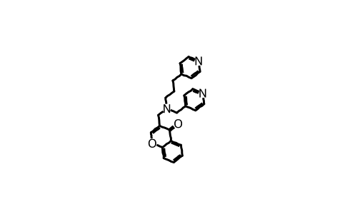 O=c1c(CN(CCCc2ccncc2)Cc2ccncc2)coc2ccccc12